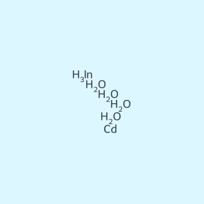 O.O.O.O.[Cd].[InH3]